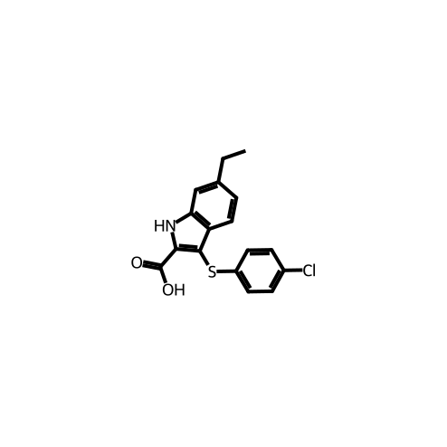 CCc1ccc2c(Sc3ccc(Cl)cc3)c(C(=O)O)[nH]c2c1